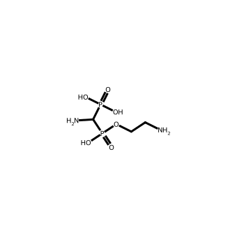 NCCOP(=O)(O)C(N)P(=O)(O)O